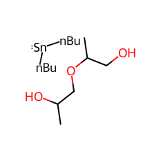 CC(O)COC(C)CO.CCC[CH2][Sn][CH2]CCC